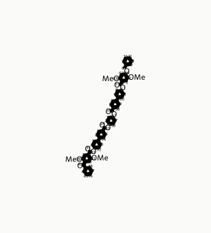 COc1cc(C(=O)Oc2ccc(-c3ccc(C(=O)Oc4ccc(OC(=O)c5ccc(-c6ccc(OC(=O)c7cc(OC)c(C(=O)c8ccccc8)cc7OC)cc6)cc5)cc4)cc3)cc2)c(OC)cc1OCc1ccccc1